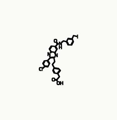 O=C(O)Cc1ccc(CCc2nc3cc(C(=O)NCc4cccc(CI)c4)ccc3nc2-c2ccc(Cl)cc2)cc1